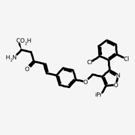 CC(C)c1onc(-c2c(Cl)cccc2Cl)c1COc1ccc(C=CC(=O)C[C@@H](N)C(=O)O)cc1